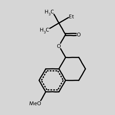 CCC(C)(C)C(=O)OC1CCCc2cc(OC)ccc21